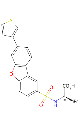 CC(C)[C@@H](NS(=O)(=O)c1ccc2oc3cc(-c4ccsc4)ccc3c2c1)C(=O)O